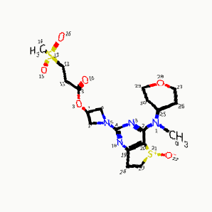 CN(c1nc(N2CC(OC(=O)CCS(C)(=O)=O)C2)nc2c1[S+]([O-])CC2)C1CCOCC1